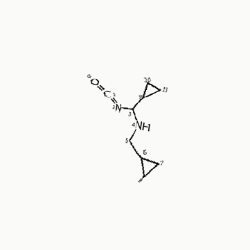 O=C=NC(NCC1CC1)C1CC1